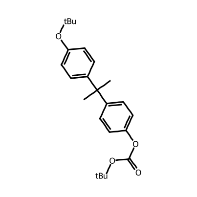 CC(C)(C)OC(=O)Oc1ccc(C(C)(C)c2ccc(OC(C)(C)C)cc2)cc1